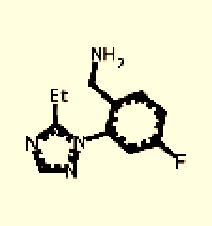 CCc1ncnn1-c1cc(F)ccc1CN